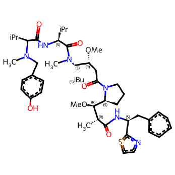 CC[C@H](C)[C@@H]([C@@H](CC(=O)N1CCC[C@H]1[C@H](OC)[C@@H](C)C(=O)N[C@@H](Cc1ccccc1)c1nccs1)OC)N(C)C(=O)[C@@H](NC(=O)C(C(C)C)N(C)Cc1ccc(O)cc1)C(C)C